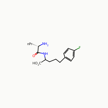 CCC[C@H](N)C(=O)NC(CCCc1ccc(F)cc1)C(=O)O